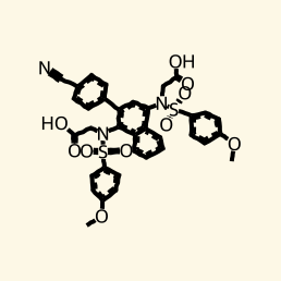 COc1ccc(S(=O)(=O)N(CC(=O)O)c2cc(-c3ccc(C#N)cc3)c(N(CC(=O)O)S(=O)(=O)c3ccc(OC)cc3)c3ccccc23)cc1